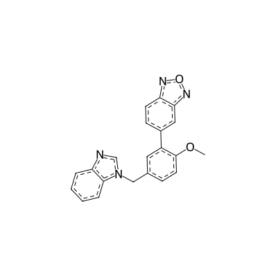 COc1ccc(Cn2cnc3ccccc32)cc1-c1ccc2nonc2c1